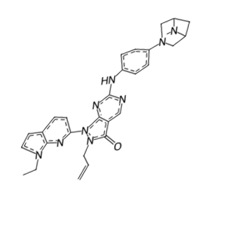 C=CCn1c(=O)c2cnc(Nc3ccc(N4CC5CC(C4)N5C)cc3)nc2n1-c1ccc2ccn(CC)c2n1